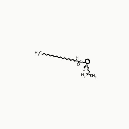 CCCCCCCCCCCCCCCCCCNC(=O)OCC1CC=CCC1N(C=O)CCCN(C)C